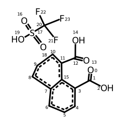 O=C(O)c1cccc2cccc(C(=O)O)c12.O=S(=O)(O)C(F)(F)F